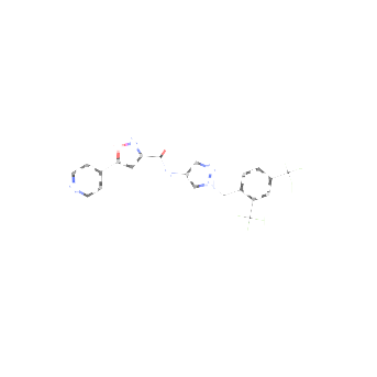 O=C(Nc1cnn(Cc2ccc(C(F)(F)F)cc2C(F)(F)F)c1)c1cc(-c2ccncc2)on1